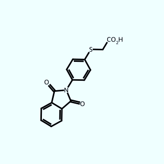 O=C(O)CSc1ccc(N2C(=O)c3ccccc3C2=O)cc1